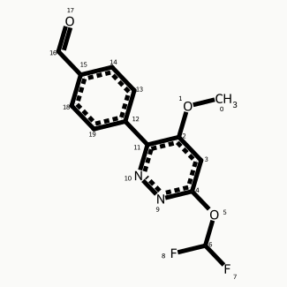 COc1cc(OC(F)F)nnc1-c1ccc(C=O)cc1